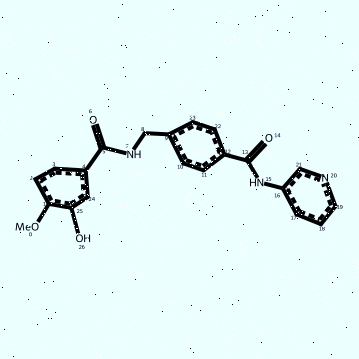 COc1ccc(C(=O)NCc2ccc(C(=O)Nc3cccnc3)cc2)cc1O